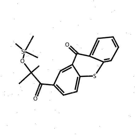 CC(C)(O[Si](C)(C)C)C(=O)c1ccc2sc3ccccc3c(=O)c2c1